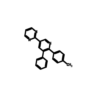 Cc1ccc(-c2ncc(-c3ncccn3)cc2-c2ccccc2)cc1